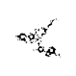 CCCCOCCOC(=O)OCSP(=O)(OC[C@H]1O[C@@H](n2cnc3c(N)ccnc32)C[C@H]1O)O[C@@H]1C(OC)[C@H](n2ccc(=O)[nH]c2=O)O[C@@H]1CO